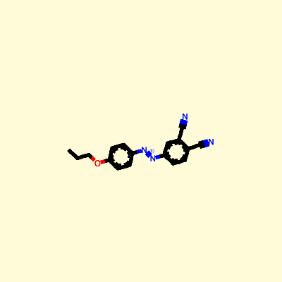 CCCOc1ccc(/N=N/c2ccc(C#N)c(C#N)c2)cc1